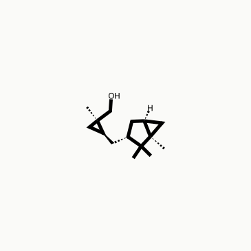 CC1(C)[C@H](C[C@H]2C[C@@]2(C)CO)C[C@H]2C[C@]21C